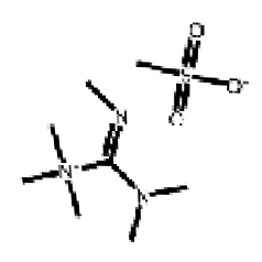 CN=C(N(C)C)[N+](C)(C)C.CS(=O)(=O)[O-]